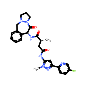 C[C@H](CC(=O)Nc1cc(-c2ccc(F)cn2)nn1C)C(=O)N[C@@H]1C(=O)N2CCCN2Cc2ccccc21